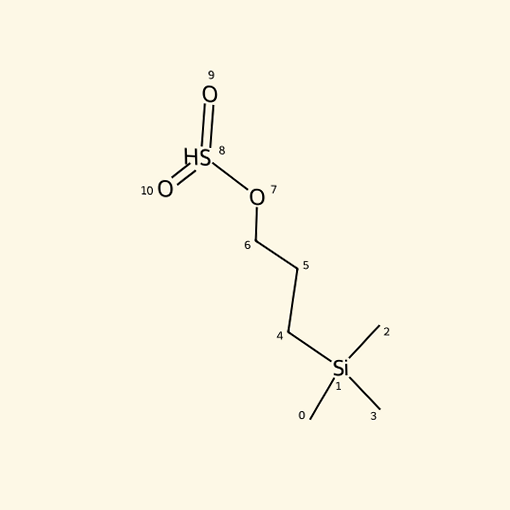 C[Si](C)(C)CCCO[SH](=O)=O